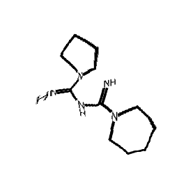 N=C(NC(=N)N1CCCC1)N1CCCCC1